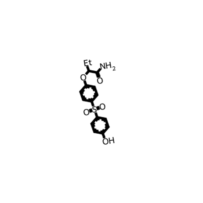 CCC(Oc1ccc(S(=O)(=O)c2ccc(O)cc2)cc1)C(N)=O